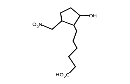 O=C(O)CCCCCC1C(O)CCC1C[N+](=O)[O-]